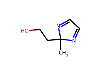 CC1(CCO)N=CC=N1